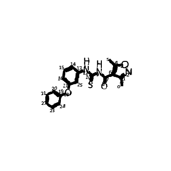 Cc1noc(C)c1C(=O)NC(=S)Nc1cccc(Oc2ccccc2)c1